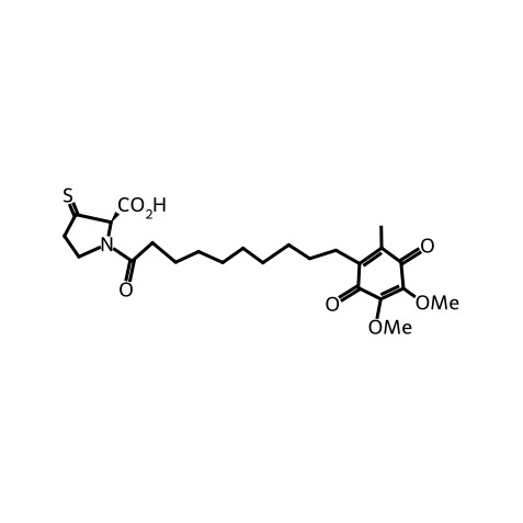 COC1=C(OC)C(=O)C(CCCCCCCCCC(=O)N2CCC(=S)[C@H]2C(=O)O)=C(C)C1=O